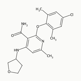 Cc1cc(NC2CCOC2)c(C(N)=O)c(Oc2c(C)cc(Cl)cc2C)n1